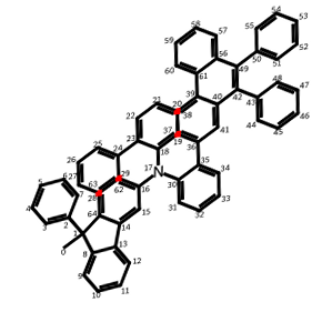 CC1(c2ccccc2)c2ccccc2-c2cc(N(c3ccccc3-c3ccccc3)c3ccccc3-c3ccc4c(c3)c(-c3ccccc3)c(-c3ccccc3)c3ccccc34)ccc21